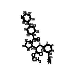 COC(=O)C(Cc1cccc(C#N)c1)C1CCCN1C(=O)c1ccc(-c2cccnc2)cc1